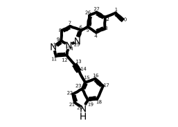 C=Cc1ccc(-c2ccc3ncc(C#Cc4cccc5[nH]ccc45)n3n2)cc1